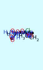 C=C(CCCCCN1C(=O)C=CC1=O)N[C@@H](CCCNC(N)=O)C(=O)Nc1ccc(C(=O)N2CCc3c2ccc2[nH]c(C(=O)N4C[C@@H](CCl)c5c4cc(OC(=C)N4CCN(C)CC4)c4ccccc54)cc32)cc1